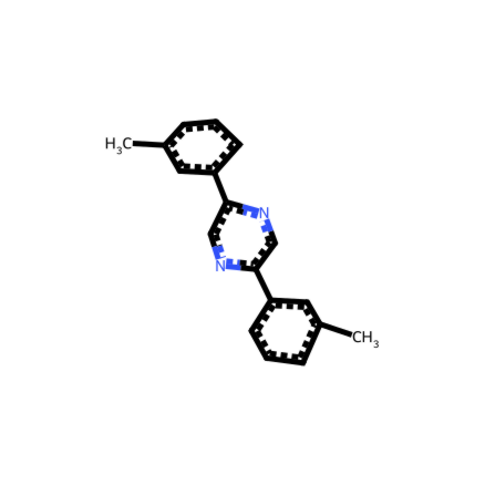 Cc1cccc(-c2cnc(-c3cccc(C)c3)cn2)c1